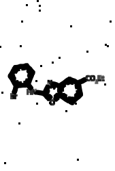 CCOC(=O)c1ccc2oc(Nc3ccccc3Br)nc2c1